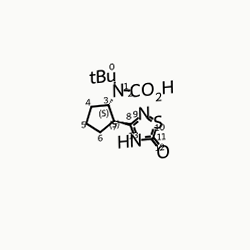 CC(C)(C)N(C(=O)O)[C@H]1CCC[C@@H]1c1nsc(=O)[nH]1